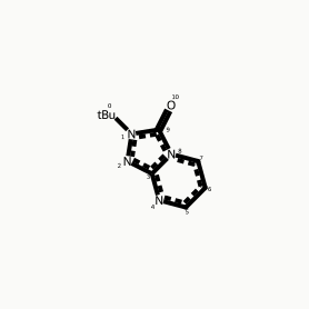 CC(C)(C)n1nc2ncccn2c1=O